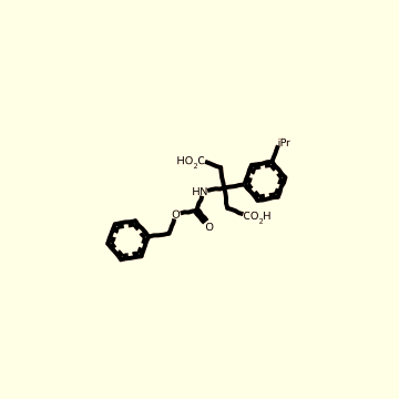 CC(C)c1cccc(C(CC(=O)O)(CC(=O)O)NC(=O)OCc2ccccc2)c1